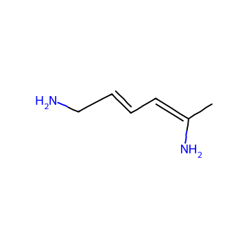 CC(N)=CC=CCN